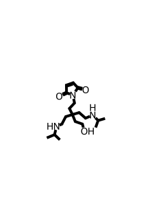 CC(C)NCCC(CCO)(CCNC(C)C)CCN1C(=O)C=CC1=O